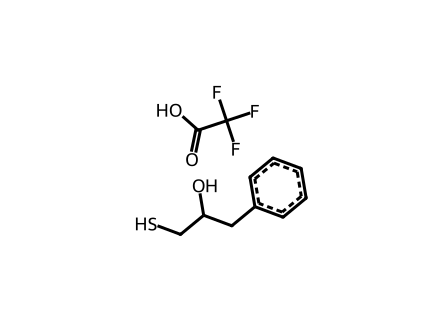 O=C(O)C(F)(F)F.OC(CS)Cc1ccccc1